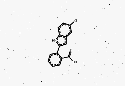 O=C(O)c1ccccc1-c1cc2cc(Cl)ccc2[nH]1